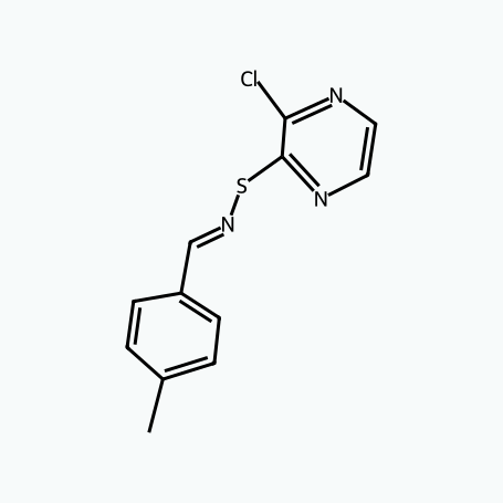 Cc1ccc(C=NSc2nccnc2Cl)cc1